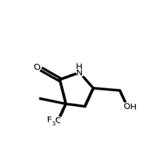 CC1(C(F)(F)F)CC(CO)NC1=O